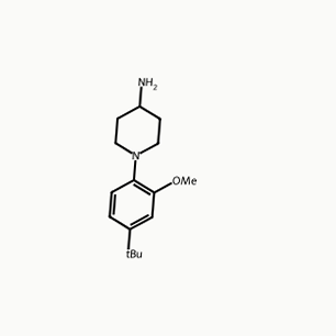 COc1cc(C(C)(C)C)ccc1N1CCC(N)CC1